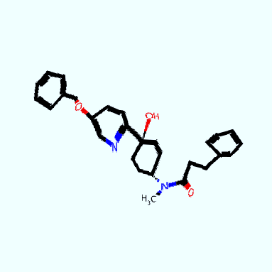 CN(C(=O)CCc1ccccc1)[C@H]1CC[C@@](O)(c2ccc(OCc3ccccc3)cn2)CC1